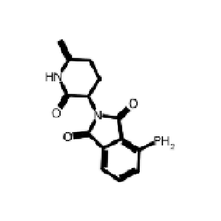 C=C1CCC(N2C(=O)c3cccc(P)c3C2=O)C(=O)N1